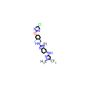 CCn1c(NCc2ccc(Oc3ncc(Cl)cn3)cc2F)nc2ccc(Nc3cc(C(F)(F)F)n(C)n3)cc21